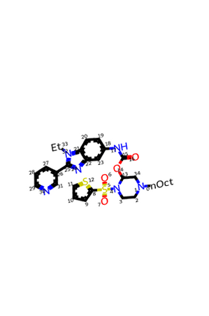 CCCCCCCCN1CCN(S(=O)(=O)c2cccs2)C(OC(=O)Nc2ccc3c(c2)nc(-c2cccnc2)n3CC)C1